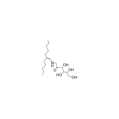 CCCCCC(=CNCC(=O)C(O)C(O)C(O)CO)CCCCC